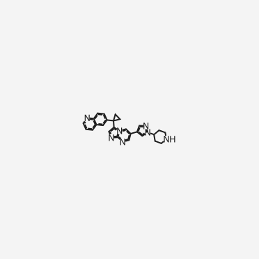 c1cnc2ccc(C3(c4cnc5ncc(-c6cnn(C7CCNCC7)c6)cn45)CC3)cc2c1